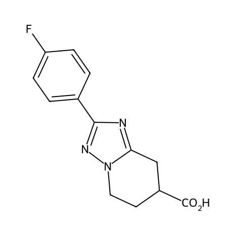 O=C(O)C1CCn2nc(-c3ccc(F)cc3)nc2C1